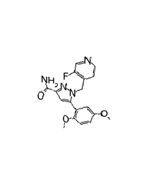 COc1ccc(OC)c(-c2cc(C(N)=O)nn2Cc2ccncc2F)c1